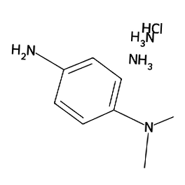 CN(C)c1ccc(N)cc1.Cl.N.N